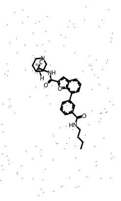 CCCCNC(=O)c1cccc(-c2cccc3cc(C(=O)N[C@H]4CN5CCC4CC5)oc23)c1